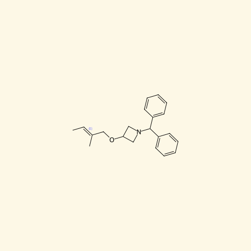 C/C=C(\C)COC1CN(C(c2ccccc2)c2ccccc2)C1